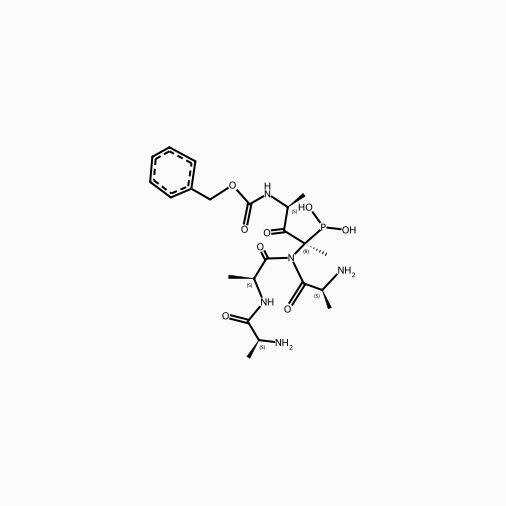 C[C@H](N)C(=O)N[C@@H](C)C(=O)N(C(=O)[C@H](C)N)[C@@](C)(C(=O)[C@H](C)NC(=O)OCc1ccccc1)P(O)O